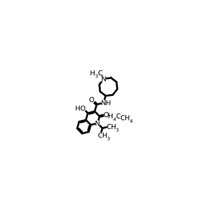 C.C.CC(C)n1c(=O)c(C(=O)NC2CCC[CH]N(C)CC2)c(O)c2ccccc21